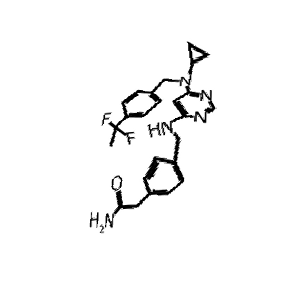 CC(F)(F)c1ccc(CN(c2cc(NCc3ccc(CC(N)=O)cc3)ncn2)C2CC2)cc1